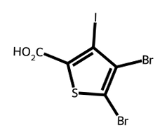 O=C(O)c1sc(Br)c(Br)c1I